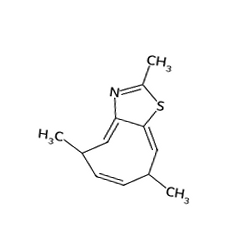 Cc1nc2/c(s1)=C\C(C)/C=C\C(C)/C=2